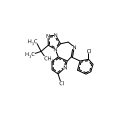 CC(C)(C)c1nnc2n1-c1ccc(Cl)nc1C(c1ccccc1Cl)=NC2